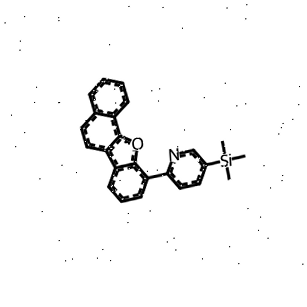 C[Si](C)(C)c1ccc(-c2cccc3c2oc2c4ccccc4ccc32)nc1